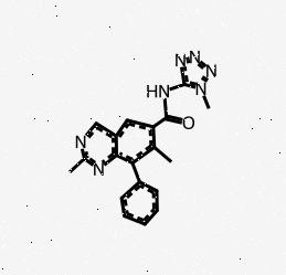 Cc1ncc2cc(C(=O)Nc3nnnn3C)c(C)c(-c3ccccc3)c2n1